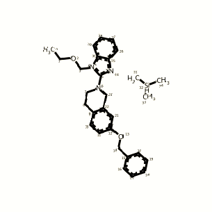 CCOCn1c(N2CCc3ccc(OCc4ccccc4)cc3C2)nc2ccccc21.C[SiH](C)C